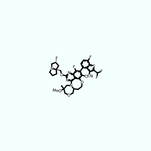 COC1(C)COCC2CCOc3c(Cl)c(-c4ccc(F)c5sc(C(F)F)c(C#N)c45)c(F)c4nc(OC[C@@]56CCCN5C[C@H](F)C6)nc(c34)N2C1